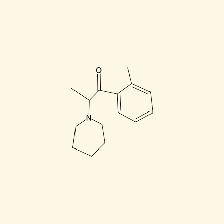 Cc1ccccc1C(=O)C(C)N1CCCCC1